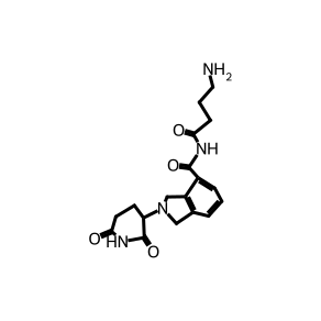 NCCCC(=O)NC(=O)c1cccc2c1CN(C1CCC(=O)NC1=O)C2